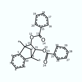 CC12CC(C)(c3ccccc31)C(OC(=O)c1ccccc1)C2OC(=O)c1ccccc1